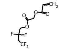 C=CC(=O)OCC(=O)OCC(F)(F)CC(F)(F)F